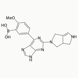 COc1ccc(-c2nc(N3CC4=CNCC4C3)nc3[nH]cnc23)cc1B(O)O